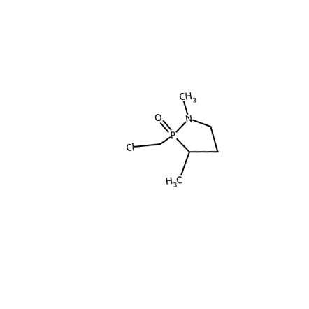 CC1CCN(C)P1(=O)CCl